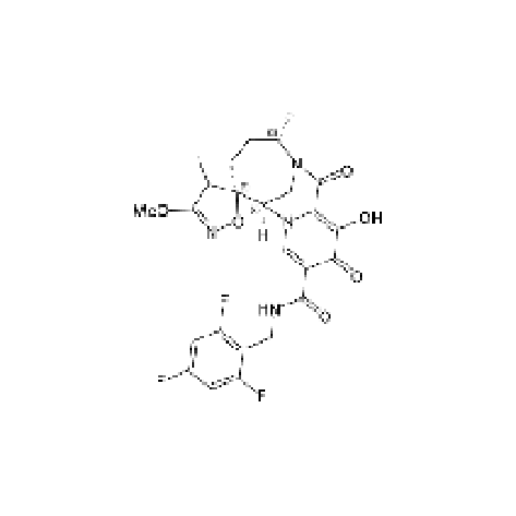 COC1=NO[C@@]2(CC[C@H](C)N3C[C@H]2n2cc(C(=O)NCc4c(F)cc(F)cc4F)c(=O)c(O)c2C3=O)C1C